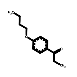 CCCCOc1ccc(C(=O)CC)cc1